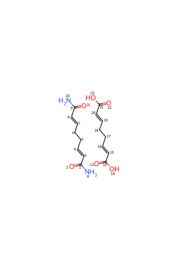 NC(=O)C=CCCC=CC(N)=O.O=C(O)C=CCCC=CC(=O)O